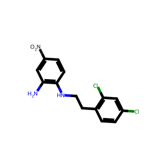 Nc1cc([N+](=O)[O-])ccc1NCCc1ccc(Cl)cc1Cl